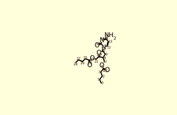 CCCCC(=O)OCC1CC(n2ccc(N)nc2=O)OC1COC(=O)CCCC